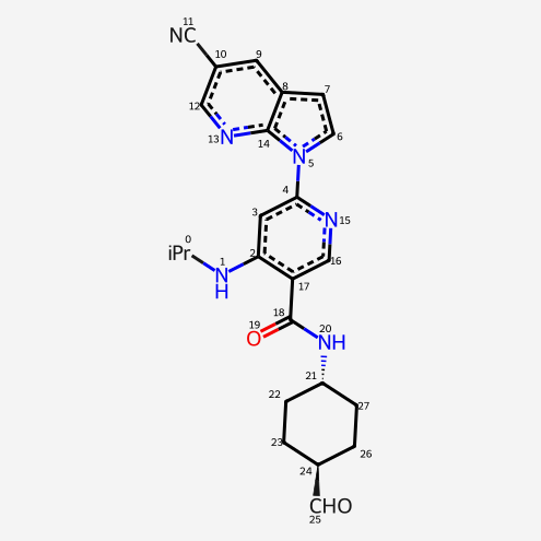 CC(C)Nc1cc(-n2ccc3cc(C#N)cnc32)ncc1C(=O)N[C@H]1CC[C@H](C=O)CC1